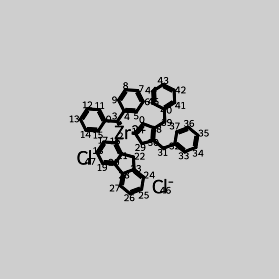 C1=[C]([Zr+2](=[C](c2ccccc2)c2ccccc2)[c]2cccc3c2Cc2ccccc2-3)CC(Cc2ccccc2)=C1Cc1ccccc1.[Cl-].[Cl-]